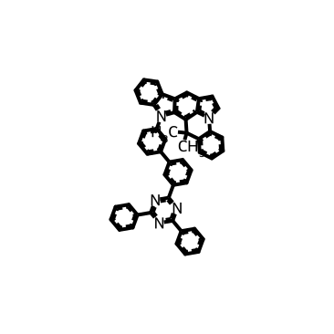 CC1(C)c2ccccc2-n2ccc3cc4c5ccccc5n(-c5cccc(-c6cccc(-c7nc(-c8ccccc8)nc(-c8ccccc8)n7)c6)c5)c4c1c32